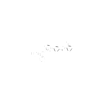 Nc1ccccc1NC(=O)c1ccc(-c2ccnc(CCC(N)N3CCOCC3)n2)cc1